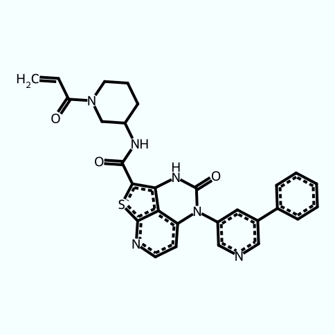 C=CC(=O)N1CCCC(NC(=O)c2sc3nccc4c3c2NC(=O)N4c2cncc(-c3ccccc3)c2)C1